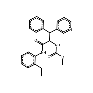 CCc1ccccc1NC(=O)C(NC(=O)OC)C(c1ccccc1)c1cccnc1